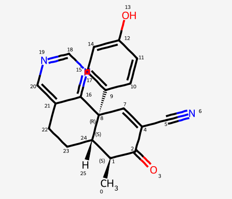 C[C@@H]1C(=O)C(C#N)=C[C@]2(c3ccc(O)cc3)c3ncncc3CC[C@@H]12